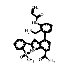 C=CC(=O)Nc1cccc(-c2ccc(C(N)=O)c3[nH]c(-c4ccccc4S(C)(=O)=O)cc23)c1CN